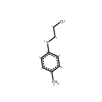 Cc1ccc(SCCCl)cc1